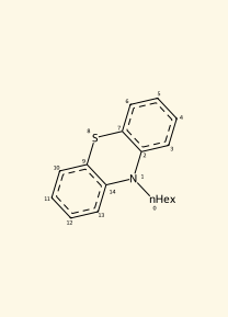 CCCCCCN1c2ccccc2Sc2ccccc21